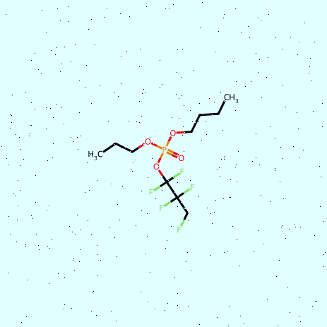 CCCCOP(=O)(OCCC)OC(F)(F)C(F)(F)CF